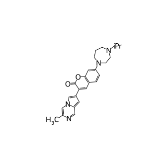 Cc1cn2cc(-c3cc4ccc(N5CCCN(C(C)C)CC5)cc4oc3=O)cc2cn1